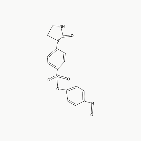 O=Nc1ccc(OS(=O)(=O)c2ccc(N3CCNC3=O)cc2)cc1